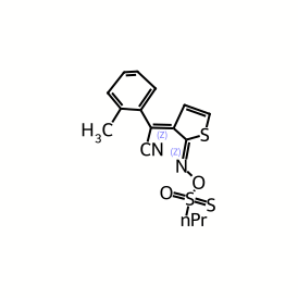 CCCS(=O)(=S)O/N=C1\SC=C\C1=C(\C#N)c1ccccc1C